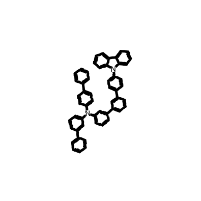 c1ccc(-c2ccc(N(c3cccc(-c4ccccc4)c3)c3cccc(-c4cccc(-c5ccc(-n6c7ccccc7c7ccccc76)cc5)c4)c3)cc2)cc1